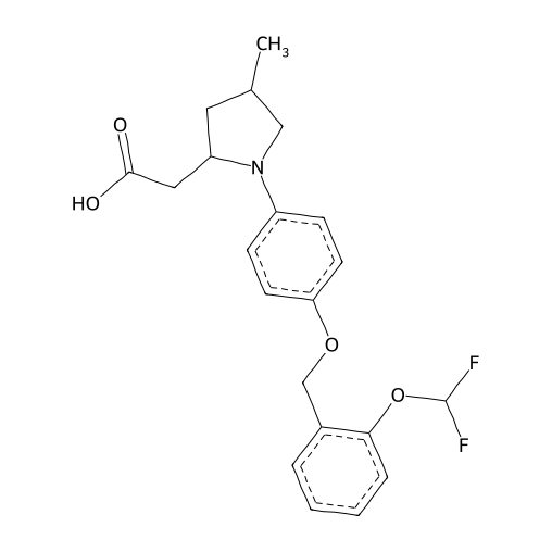 CC1CC(CC(=O)O)N(c2ccc(OCc3ccccc3OC(F)F)cc2)C1